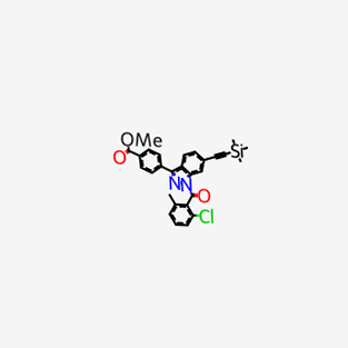 COC(=O)c1ccc(-c2nn(C(=O)c3c(C)cccc3Cl)c3cc(C#C[Si](C)(C)C)ccc23)cc1